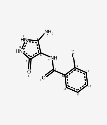 Nc1[nH][nH]c(=O)c1NC(=O)c1ccccc1F